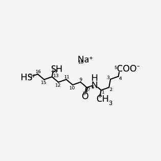 CC(CCCC(=O)[O-])NC(=O)CCCCC(S)CCS.[Na+]